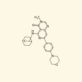 Cn1cnc2cc(-c3ccc(N4CCOCC4)cc3)nc(NC3CC4CCC3CC4)c2c1=O